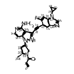 C=CC(=O)N1CC(n2nc(C#Cc3cc4ncn(C5CC5)c4cc3F)c3c(N)nccc32)C[C@@H]1C